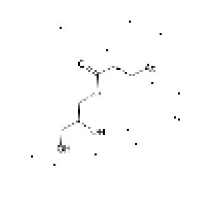 CC(=O)CCC(=O)OCC(O)CO